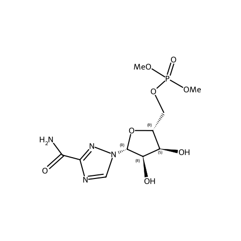 COP(=O)(OC)OC[C@H]1O[C@@H](n2cnc(C(N)=O)n2)[C@H](O)[C@@H]1O